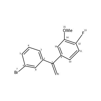 C=C(c1cccc(Br)c1)c1ccc(F)c(OC)c1